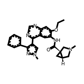 CCOc1cc2ncnc(-c3cn(C)nc3-c3ccccc3)c2cc1NC(=O)[C@]12C[C@H]1CN(C)C2